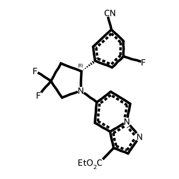 CCOC(=O)c1cnn2ccc(N3CC(F)(F)C[C@@H]3c3cc(F)cc(C#N)c3)cc12